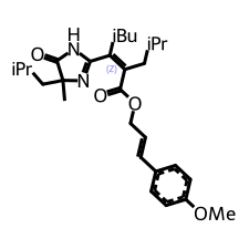 CCC(C)/C(C1=NC(C)(CC(C)C)C(=O)N1)=C(\CC(C)C)C(=O)OCC=Cc1ccc(OC)cc1